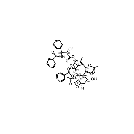 CC(=O)O[C@H]1C(=O)[C@@]2(C)[C@H]([C@H](OC(=O)c3ccccc3)[C@]3(O)C[C@H](OC(=O)[C@H](O)[C@@H](NC(=O)c4ccccc4)c4ccccc4)C(C)=C1C3(C)I)[C@]1(OC(C)=O)CO[C@@H]1C[C@@H]2O